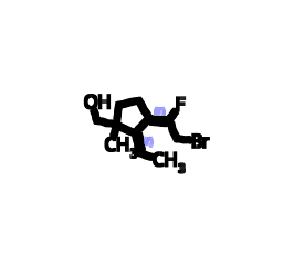 C/C=C1\C(=C(\F)CBr)CCC1(C)CO